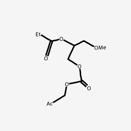 CCC(=O)OC(COC)COC(=O)OCC(C)=O